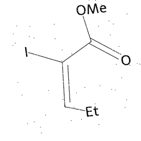 CC/C=C(/I)C(=O)OC